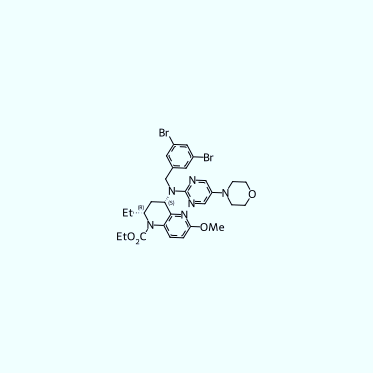 CCOC(=O)N1c2ccc(OC)nc2[C@@H](N(Cc2cc(Br)cc(Br)c2)c2ncc(N3CCOCC3)cn2)C[C@H]1CC